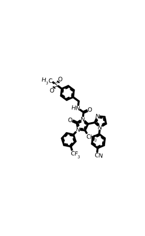 Cc1c(-c2nccn2-c2ccc(C#N)cc2)n(C(=O)NCc2ccc(S(C)(=O)=O)cc2)c(=O)n1-c1cccc(C(F)(F)F)c1